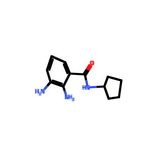 Nc1cccc(C(=O)NC2CCCC2)c1N